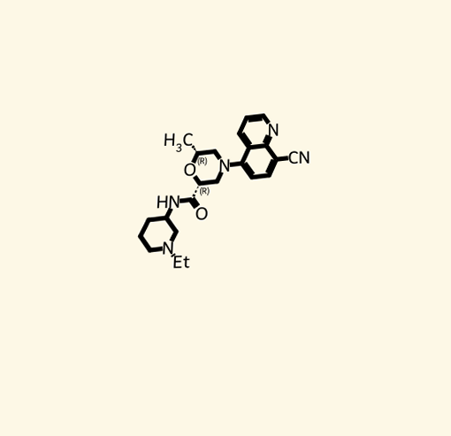 CCN1CCCC(NC(=O)[C@H]2CN(c3ccc(C#N)c4ncccc34)C[C@@H](C)O2)C1